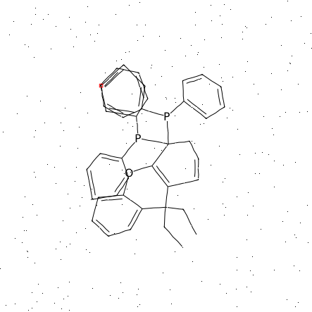 CCC1(CC)C2=C(Oc3ccccc31)C(P(c1ccccc1)c1ccccc1)(P(c1ccccc1)c1ccccc1)CC=C2